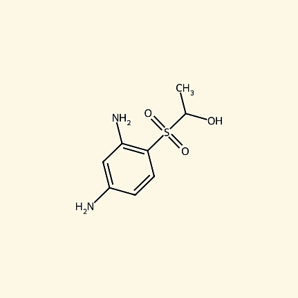 CC(O)S(=O)(=O)c1ccc(N)cc1N